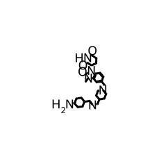 CN(CC1CCC(N)CC1)CC1CCN(Cc2ccc3c(c2)n(C)c(=O)n3C2CCC(=O)NC2=O)CC1